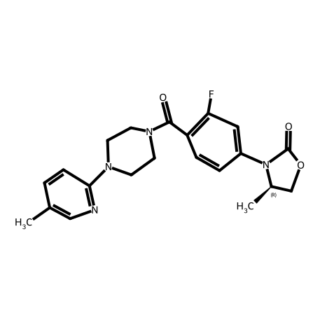 Cc1ccc(N2CCN(C(=O)c3ccc(N4C(=O)OC[C@H]4C)cc3F)CC2)nc1